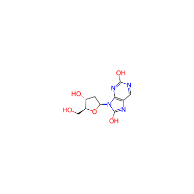 OC[C@@H]1O[C@H](n2c(O)nc3cnc(O)nc32)C[C@H]1O